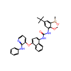 COc1c(NC(=O)Nc2ccc(Oc3cccnc3Nc3ccccc3)c3ccccc23)cc(C(C)(C)C)cc1[S@@+](C)[O-]